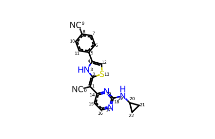 N#CC(=C1NC(c2ccc(C#N)cc2)=CS1)c1ccnc(NC2CC2)n1